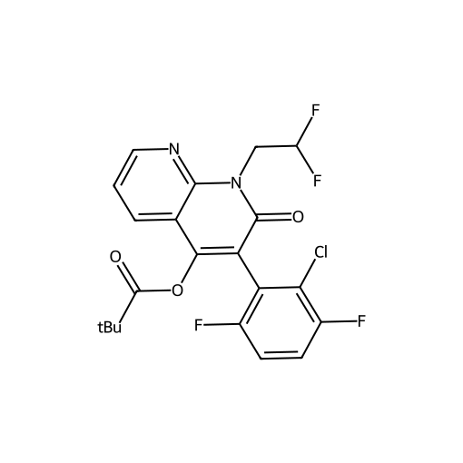 CC(C)(C)C(=O)Oc1c(-c2c(F)ccc(F)c2Cl)c(=O)n(CC(F)F)c2ncccc12